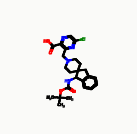 CC(C)(C)OC(=O)N[C@@H]1c2ccccc2CC12CCN(Cc1nc(Cl)cnc1C(=O)O)CC2